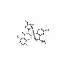 Cc1ccc(F)c([C@@H](C)C(NS(=O)(=O)c2ccc(Cl)cc2C(N)=O)c2n[nH]c(=O)o2)c1C